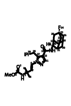 COC(=O)NC(C)(C)/C=C/n1ncc(C(=O)N[C@H]2C3CC4CC2C[C@](F)(C4)C3)c1CC(C)C